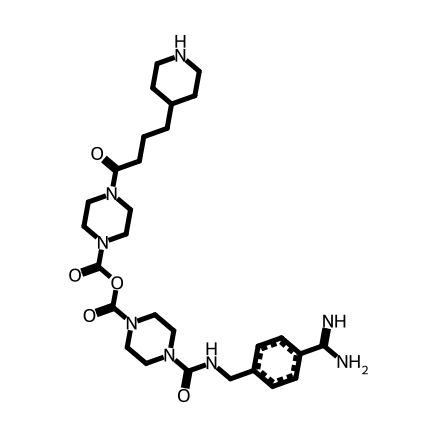 N=C(N)c1ccc(CNC(=O)N2CCN(C(=O)OC(=O)N3CCN(C(=O)CCCC4CCNCC4)CC3)CC2)cc1